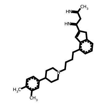 CC(=N)CC(=N)C1=Cc2c(CCCCN3CCC(c4ccc(C)c(C)c4)CC3)cccc2C1